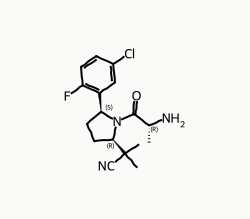 C[C@@H](N)C(=O)N1[C@H](c2cc(Cl)ccc2F)CC[C@@H]1C(C)(C)C#N